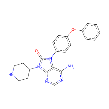 Nc1ncnc2c1n(-c1ccc(Oc3ccccc3)cc1)c(=O)n2C1CCNCC1